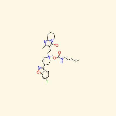 Cc1nc2n(c(=O)c1CC[N+]1(COC(=O)NCCCC(C)C)CCC(c3noc4cc(F)ccc34)CC1)CCCC2